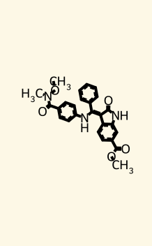 COC(=O)c1ccc2c(c1)NC(=O)/C2=C(/Nc1ccc(C(=O)N(C)OC)cc1)c1ccccc1